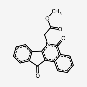 COC(=O)Cn1c2c(c3ccccc3c1=O)C(=O)c1ccccc1-2